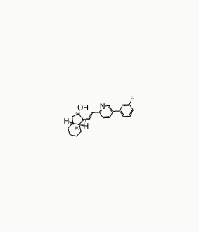 O[C@H]1C[C@H]2CCCC[C@H]2[C@@H]1C=Cc1ccc(-c2cccc(F)c2)cn1